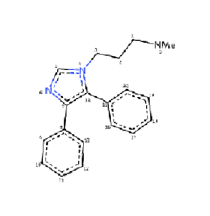 CNCCCn1cnc(-c2ccccc2)c1-c1ccccc1